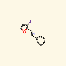 Ic1ccoc1/C=C/c1ccccc1